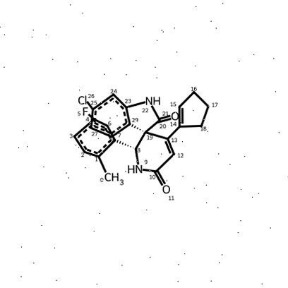 Cc1ccc(F)cc1[C@H]1NC(=O)C=C(C2=CCCC2)[C@]12C(=O)Nc1cc(Cl)ccc12